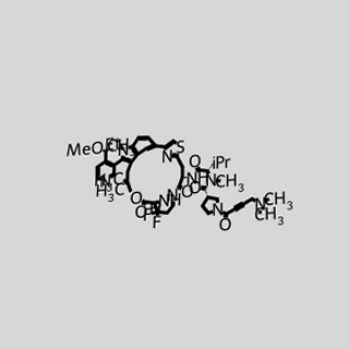 CCn1c(-c2cnccc2[C@H](C)OC)c2c3cc(ccc31)-c1csc(n1)C[C@H](NC(=O)[C@H](C(C)C)N(C)C(=O)[C@H]1CCN(C(=O)C#CCN(C)C)C1)C(=O)N1CCC(F)(F)[C@H](N1)C(=O)OCC(C)(C)C2